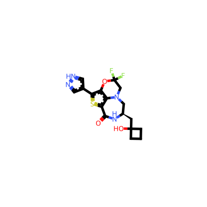 O=C1N[C@H](CC2(O)CCC2)CN2CC(F)(F)Oc3c(-c4cn[nH]c4)sc1c32